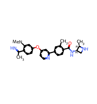 CNc1cc(Oc2ccnc(-c3ccc(C(=O)N[C@@H]4CN[C@@H]4C)c(C)c3)c2)ccc1C(C)=N